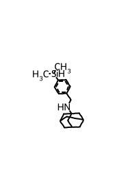 C[SiH](C)c1ccc(CNC23CC4CC(CC(C4)C2)C3)cc1